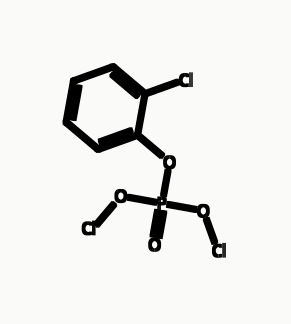 O=P(OCl)(OCl)Oc1ccccc1Cl